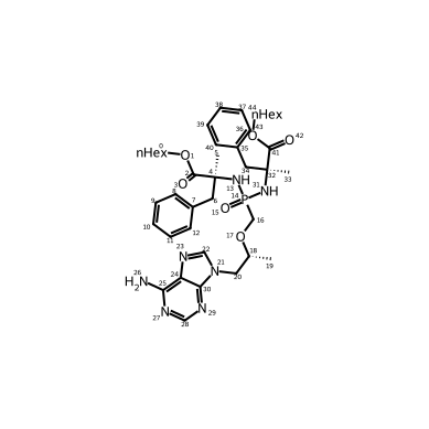 CCCCCCOC(=O)[C@](C)(Cc1ccccc1)NP(=O)(CO[C@H](C)Cn1cnc2c(N)ncnc21)N[C@@](C)(Cc1ccccc1)C(=O)OCCCCCC